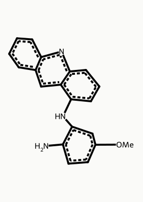 COc1ccc(N)c(Nc2cccc3nc4ccccc4cc23)c1